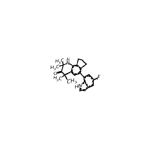 CC1(C)Nc2c(cc(-c3cc(F)cc4cc[nH]c34)c3c2CCC3)C(C)(C)C1=O